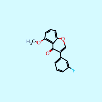 COc1cccc2occ(-c3cccc(F)c3)c(=O)c12